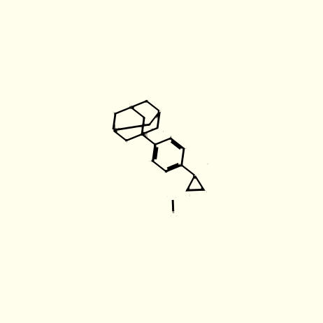 C[C@]1(c2ccc(C34CC5CC(CC(C5)C3)C4)cc2)C[C@@H]1CO